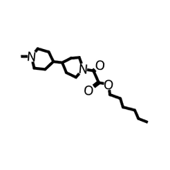 CCCCCCOC(=O)C(=O)N1CCC(C2CCN(C)CC2)CC1